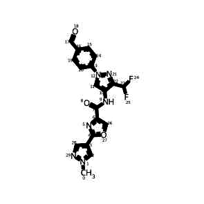 Cn1cc(-c2nc(C(=O)Nc3cn(-c4ccc(C=O)cc4)nc3C(F)F)co2)cn1